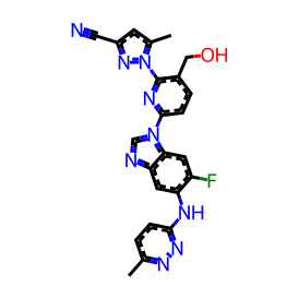 Cc1ccc(Nc2cc3ncn(-c4ccc(CO)c(-n5nc(C#N)cc5C)n4)c3cc2F)nn1